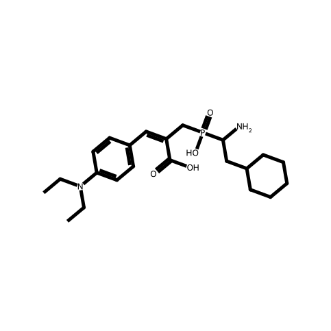 CCN(CC)c1ccc(/C=C(/CP(=O)(O)C(N)CC2CCCCC2)C(=O)O)cc1